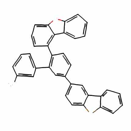 N#Cc1cccc(-c2cc(-c3ccc4sc5ccccc5c4c3)ccc2-c2cccc3oc4ccccc4c23)c1